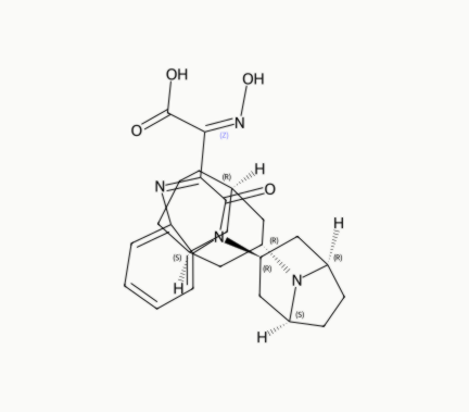 O=C(O)/C(=N\O)c1nc2ccccc2n([C@H]2C[C@H]3CC[C@@H](C2)N3[C@H]2C[C@@H]3CCC[C@@H](C3)C2)c1=O